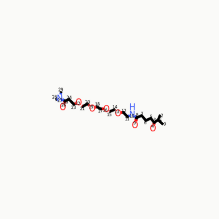 CC(C)C(=O)CCCC(=O)NCCOCCOCCOCCOCCC(=O)N(C)C